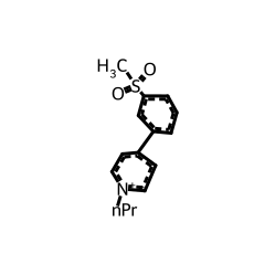 CCC[n+]1ccc(-c2cccc(S(C)(=O)=O)c2)cc1